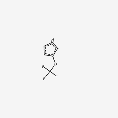 FC(F)(F)Oc1[c][nH]cc1